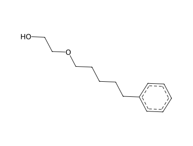 OCCOCCCCCc1ccccc1